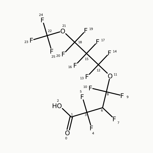 O=C(O)C(F)(F)C(F)C(F)(F)OC(F)(F)C(F)(F)C(F)(F)OC(F)(F)F